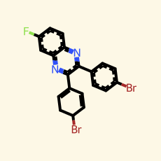 Fc1ccc2nc(-c3ccc(Br)cc3)c(C3=CCC(Br)C=C3)nc2c1